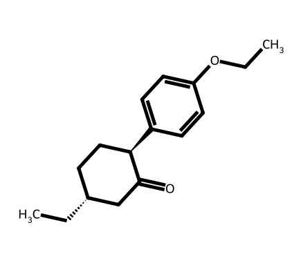 CCOc1ccc([C@@H]2CC[C@@H](CC)CC2=O)cc1